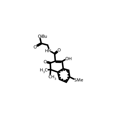 CSc1ccc2c(c1)C(O)=C(C(=O)NCC(=O)OCC(C)C)C(=O)C2(C)C